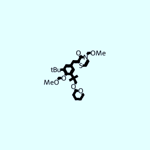 COCOc1c(C(C)(C)C)cc(C=C2SC=CN(COC)C2=O)cc1C(C)(C)COC1CCCCO1